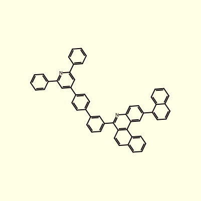 c1ccc(-c2cc(-c3ccc(-c4cccc(-c5nc6ccc(-c7cccc8ccccc78)cc6c6c5ccc5ccccc56)c4)cc3)cc(-c3ccccc3)n2)cc1